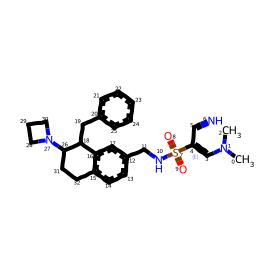 CN(C)/C=C(\C=N)S(=O)(=O)NCc1ccc2c(c1)C(Cc1ccccc1)C(N1CCC1)CC2